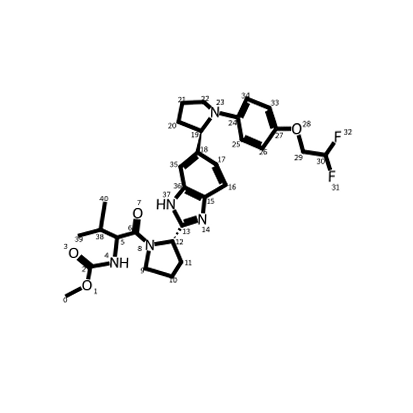 COC(=O)NC(C(=O)N1CCC[C@H]1c1nc2ccc([C@H]3CCCN3c3ccc(OCC(F)F)cc3)cc2[nH]1)C(C)C